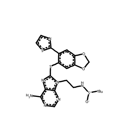 CC(C)(C)[S+]([O-])NCCn1c(Sc2cc3c(cc2-c2nccs2)OCO3)nc2c(N)ncnc21